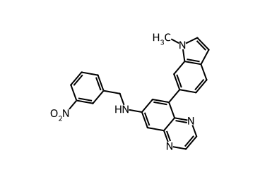 Cn1ccc2ccc(-c3cc(NCc4cccc([N+](=O)[O-])c4)cc4nccnc34)cc21